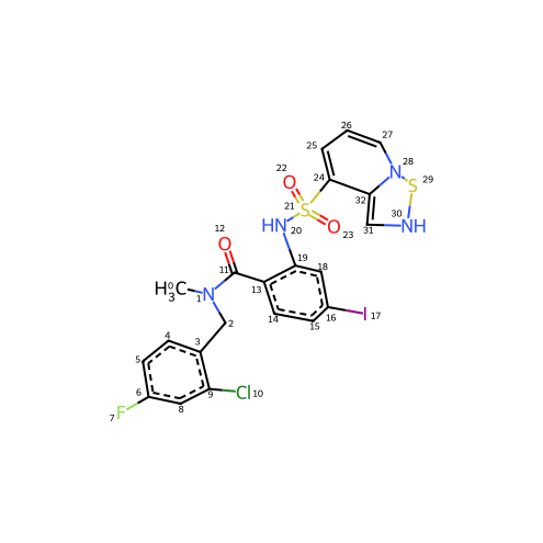 CN(Cc1ccc(F)cc1Cl)C(=O)c1ccc(I)cc1NS(=O)(=O)C1=CC=CN2SNC=C12